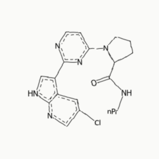 CCCNC(=O)C1CCCN1c1ccnc(-c2c[nH]c3ncc(Cl)cc23)n1